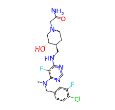 CN(Cc1ccc(Cl)c(F)c1)c1ncnc(NC[C@@H]2CCN(CC(N)=O)C[C@H]2O)c1F